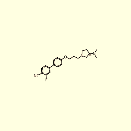 CN(C)[C@@H]1CCN(CCCOc2ccc(-c3ccc(C#N)c(F)c3)cc2)C1